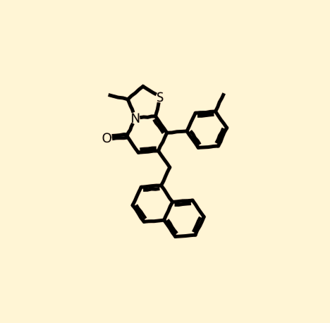 Cc1cccc(-c2c(Cc3cccc4ccccc34)cc(=O)n3c2SCC3C)c1